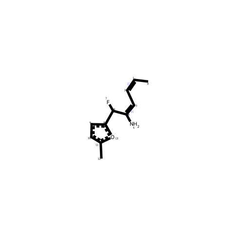 C/C=C\C=C(\N)C(F)c1ccc(C)o1